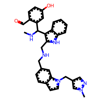 CNC(c1cc(O)ccc1C=O)c1c(CNCc2ccc3ccn(Cc4cnn(C)c4)c3c2)[nH]c2ccccc12